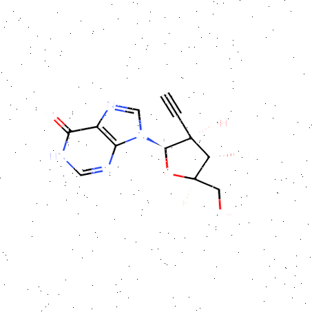 C#C[C@]1(O)[C@H](n2cnc3c(=O)[nH]cnc32)O[C@](F)(CO)[C@H]1O